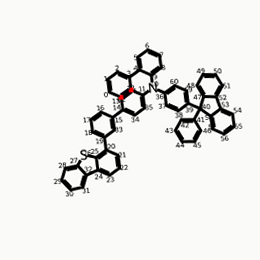 c1ccc(-c2ccccc2N(c2ccc(-c3cccc(-c4cccc5c4sc4ccccc45)c3)cc2)c2ccc(C3(c4ccccc4)c4ccccc4-c4ccccc43)cc2)cc1